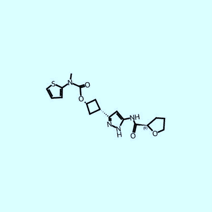 CN(C(=O)O[C@H]1C[C@@H](c2cc(NC(=O)[C@H]3CCCO3)[nH]n2)C1)c1cccs1